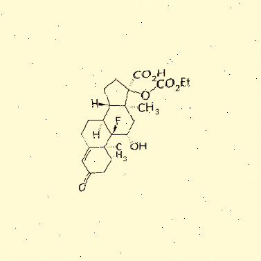 CCOC(=O)O[C@]1(C(=O)O)CC[C@H]2[C@@H]3CCC4=CC(=O)CC[C@]4(C)[C@@]3(F)[C@@H](O)C[C@@]21C